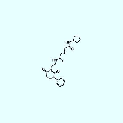 O=C(CSCC(=O)NC1CCCC1)NCCN1C(=O)CCC(c2ccccc2)C1=O